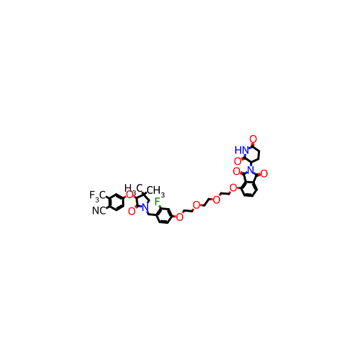 CC1(C)CN(Cc2ccc(OCCOCCOCCOc3cccc4c3C(=O)N(C3CCC(=O)NC3=O)C4=O)cc2F)C(=O)C1Oc1ccc(C#N)c(C(F)(F)F)c1